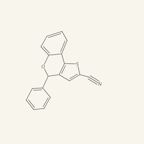 N#Cc1cc2c(s1)-c1ccccc1OC2c1ccccc1